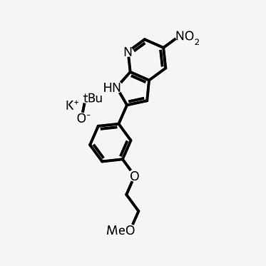 CC(C)(C)[O-].COCCOc1cccc(-c2cc3cc([N+](=O)[O-])cnc3[nH]2)c1.[K+]